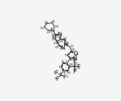 FC(F)(F)c1ccc(-c2cc(Cn3cc4nc(N5CCCCC5)nc-4cn3)on2)c(C(F)(F)F)c1